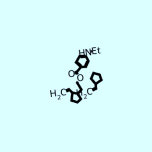 C=CC1CCCC1.C=CC1CCCC1CCOC(=O)c1ccc(NCC)cc1